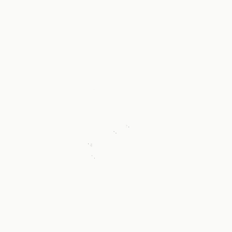 Nc1c(N=Nc2ccc(Cl)cc2Cl)cc(S(=O)(=O)[O-])c2ccccc12.[Na+]